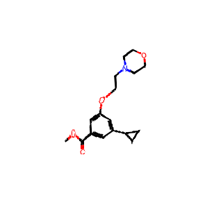 COC(=O)c1cc(OCCN2CCOCC2)cc(C2CC2)c1